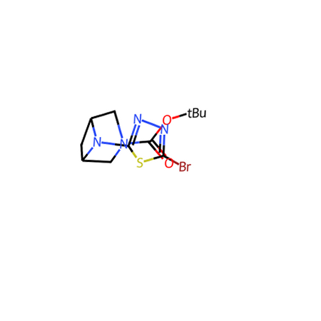 CC(C)(C)OC(=O)N1CC2CC(C1)N2c1nnc(Br)s1